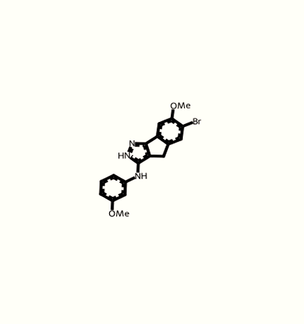 COc1cccc(Nc2[nH]nc3c2Cc2cc(Br)c(OC)cc2-3)c1